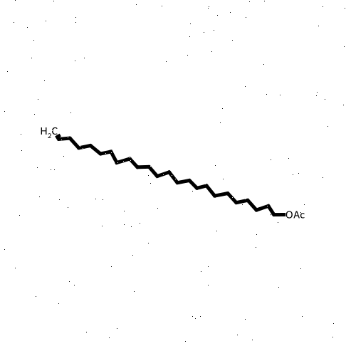 C=CCCCCCCCCCCCCCCCCCCCCC[CH]OC(C)=O